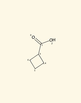 O=C(O)C1[C]CC1